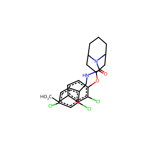 O=C(O)Cc1ccc(OC2CC3CCCC(C2)N3C(=O)NCc2ccc(Cl)cc2Cl)c(Cl)c1